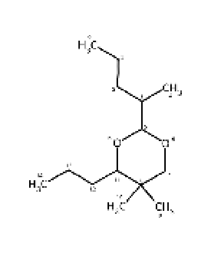 CCCC(C)C1OCC(C)(C)C(CCC)O1